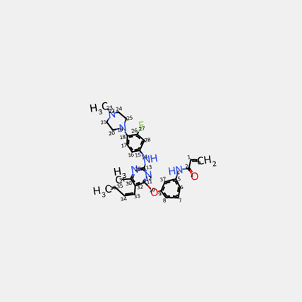 C=CC(=O)Nc1cccc(Oc2nc(Nc3ccc(N4CCN(C)CC4)c(F)c3)nc(C)c2/C=C\CC)c1